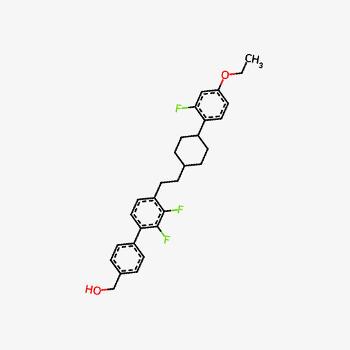 CCOc1ccc(C2CCC(CCc3ccc(-c4ccc(CO)cc4)c(F)c3F)CC2)c(F)c1